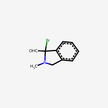 CN1Cc2ccccc2C1(Br)C=O